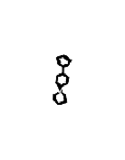 C1=CC(N2CCCCC2)=CC[C]1c1ccccc1